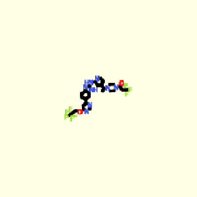 CC(c1ccnc(Nc2nc3ccc(-c4cc(OCC(F)(F)C(F)(F)F)ncn4)cc3[nH]2)c1)N1CCN(C(=O)CC(F)(F)F)CC1